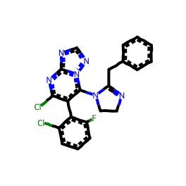 Fc1cccc(Cl)c1-c1c(Cl)nc2ncnn2c1N1CCN=C1Cc1ccccc1